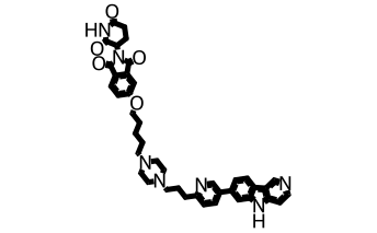 O=C1CCC(N2C(=O)c3ccc(OCCCCCN4CCN(CCCc5ccc(-c6ccc7c(c6)[nH]c6ccncc67)cn5)CC4)cc3C2=O)C(=O)N1